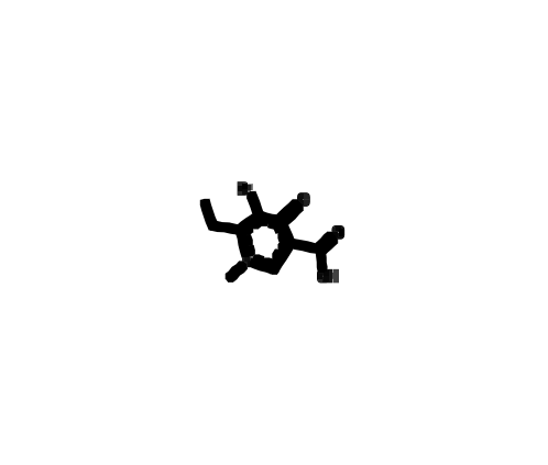 CCc1c(Br)c(=O)c(C(=O)O)cn1C